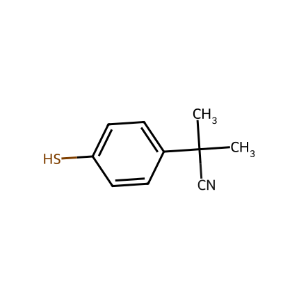 CC(C)(C#N)c1ccc(S)cc1